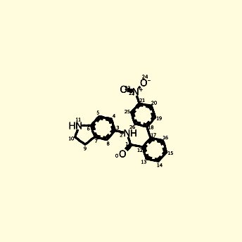 O=C(Nc1ccc2c(c1)CCN2)c1ccccc1-c1ccc([N+](=O)[O-])cc1